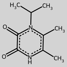 Cc1[nH]c(=O)c(=O)n(C(C)C)c1C